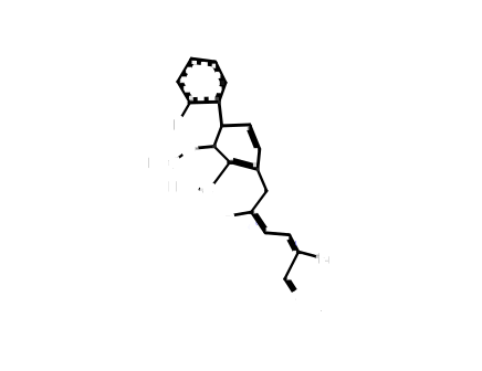 C=C/C(Br)=C\C=C(\F)CC1=C(OC)C(OC)C(c2ccccc2F)C=C1